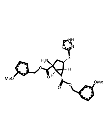 COc1cccc(COC(=O)[C@H]2[C@H]3[C@@H]2[C@](N)(C(=O)OCc2cccc(OC)c2)C[C@@H]3Sc2nc[nH]n2)c1